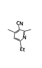 CCc1cc(C)c(C#N)c(C)n1